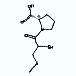 CSCC(S)C(=O)N1CCC[C@H]1C(=O)O